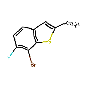 O=C(O)c1cc2ccc(F)c(Br)c2s1